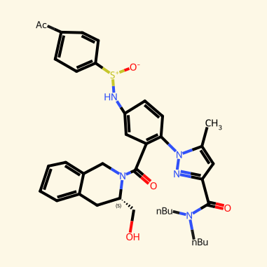 CCCCN(CCCC)C(=O)c1cc(C)n(-c2ccc(N[S+]([O-])c3ccc(C(C)=O)cc3)cc2C(=O)N2Cc3ccccc3C[C@H]2CO)n1